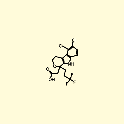 O=C(O)CC1(CCC(F)(F)F)OCCc2c1[nH]c1ccc(Cl)c(Cl)c21